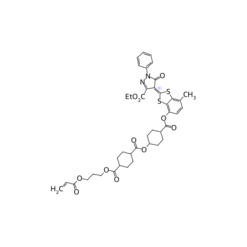 C=CC(=O)OCCCOC(=O)C1CCC(C(=O)OC2CCC(C(=O)Oc3ccc(C)c4c3S/C(=C3/C(=O)N(c5ccccc5)N=C3C(=O)OCC)S4)CC2)CC1